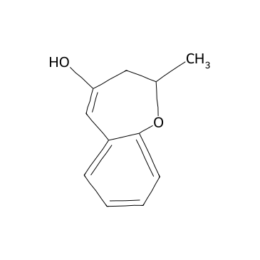 CC1CC(O)=Cc2ccccc2O1